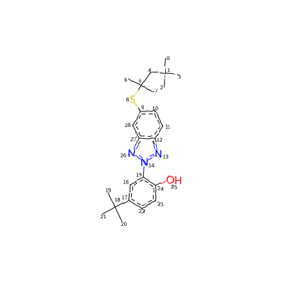 CC(C)(C)CC(C)(C)Sc1ccc2nn(-c3cc(C(C)(C)C)ccc3O)nc2c1